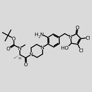 C[C@@H](C(=O)N1CCN(c2ccc(CN3C(=O)C(Cl)=C(Cl)C3O)cc2N)CC1)N(C)C(=O)OC(C)(C)C